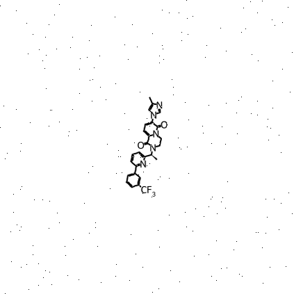 Cc1cn(-c2ccc3n(c2=O)CCN([C@@H](C)c2cccc(-c4cccc(C(F)(F)F)c4)n2)C3=O)cn1